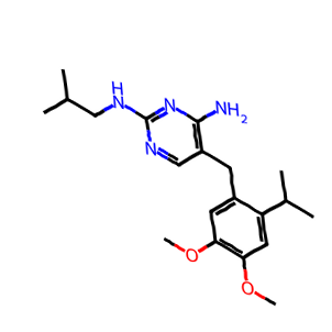 COc1cc(Cc2cnc(NCC(C)C)nc2N)c(C(C)C)cc1OC